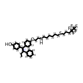 CC/C(=C(\c1ccc(O)cc1)c1ccc(OCCNCCCCCCSCCCC(F)(F)C(F)(F)F)cc1)c1ccccc1